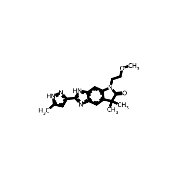 COCCN1C(=O)C(C)(C)c2cc3nc(-c4cc(C)[nH]n4)[nH]c3cc21